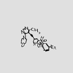 CCc1cccc(S(=O)(=O)Nc2cc(C#Cc3c(C)ncnc3N3CCOCC3)cnc2C)c1